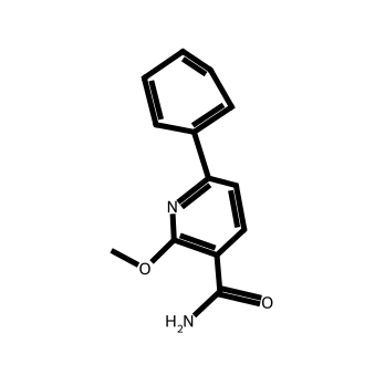 COc1nc(-c2ccccc2)ccc1C(N)=O